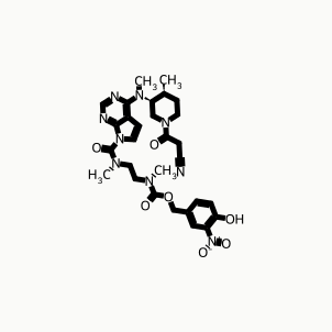 C[C@@H]1CCN(C(=O)CC#N)C[C@@H]1N(C)c1ncnc2c1ccn2C(=O)N(C)CCN(C)C(=O)OCc1ccc(O)c([N+](=O)[O-])c1